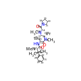 CN[C@H](C(=O)N[C@H](C(=O)N(C)[C@H](CN(C)CC(=O)N1CCCC1)C(C)C)C(C)(C)C)C(C)(C)c1ccccc1